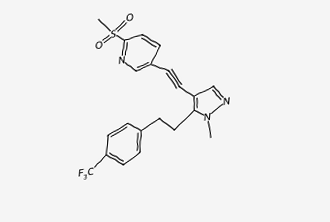 Cn1ncc(C#Cc2ccc(S(C)(=O)=O)nc2)c1CCc1ccc(C(F)(F)F)cc1